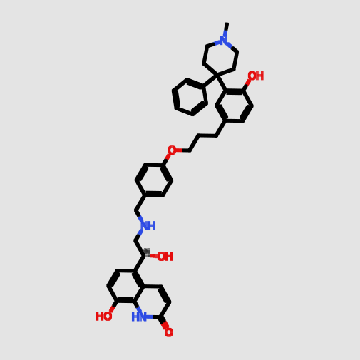 CN1CCC(c2ccccc2)(c2cc(CCCOc3ccc(CNC[C@H](O)c4ccc(O)c5[nH]c(=O)ccc45)cc3)ccc2O)CC1